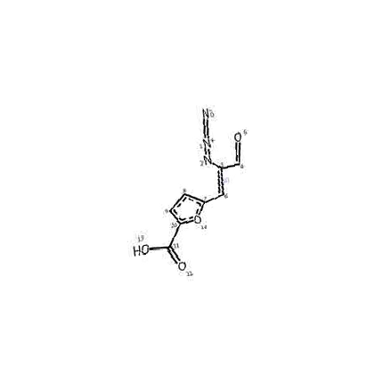 [N-]=[N+]=N/C(C=O)=C\c1ccc(C(=O)O)o1